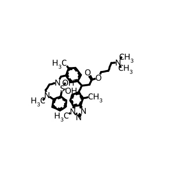 Cc1ccc(C(CC(=O)OCCCN(C)C)c2ccc3c(nnn3C)c2C)cc1CN1CCN(C)c2ccccc2S1(O)O